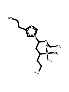 CCCC(CC(OCC)n1cnc(CCO)c1)[Si](C)(C)C